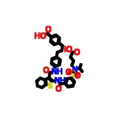 CC(C)N(CCCC(=O)O)S(=O)(=O)c1cccc(C(=O)Nc2sc3c(c2C(=O)Nc2ccc(CCCc4ccc(C(=O)O)cc4)cc2)CCCC3)c1